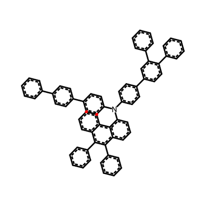 c1ccc(-c2ccc(-c3ccc(N(c4ccc(-c5ccc(-c6ccccc6)c(-c6ccccc6)c5)cc4)c4cccc5c(-c6ccccc6)c(-c6ccccc6)c6ccccc6c45)cc3)cc2)cc1